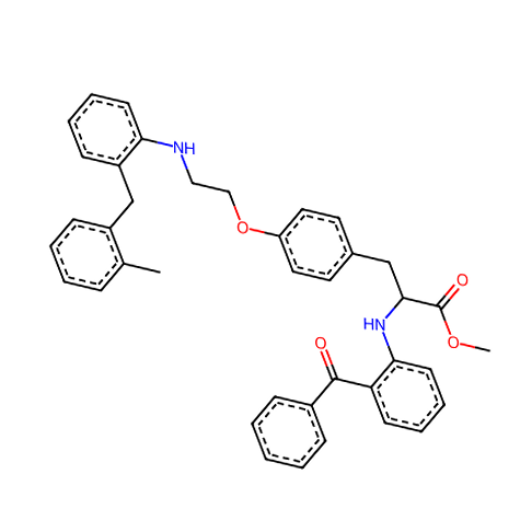 COC(=O)C(Cc1ccc(OCCNc2ccccc2Cc2ccccc2C)cc1)Nc1ccccc1C(=O)c1ccccc1